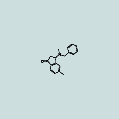 Cc1ccc2c(c1)C(N(C)Cc1ccccc1)CC2=O